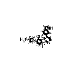 Cc1cc(Nc2nccc(-c3ccc4cc[nH]c4c3)n2)ccc1N1CC2CC1CN2C